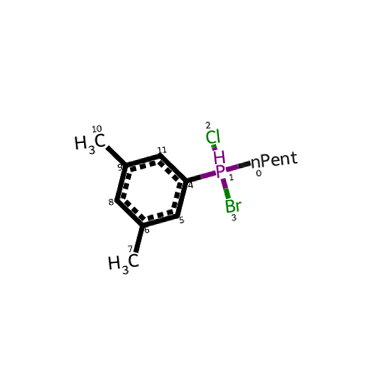 CCCCC[PH](Cl)(Br)c1cc(C)cc(C)c1